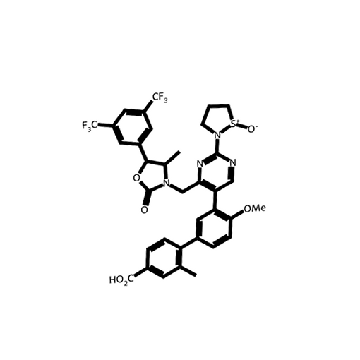 COc1ccc(-c2ccc(C(=O)O)cc2C)cc1-c1cnc(N2CCC[S+]2[O-])nc1CN1C(=O)OC(c2cc(C(F)(F)F)cc(C(F)(F)F)c2)C1C